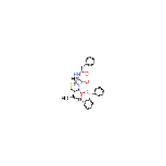 C=C(C)C1=CS[C@@H]2[C@H](NC(=O)Cc3ccccc3)C(=O)N2C1C(=O)OC(c1ccccc1)c1ccccc1